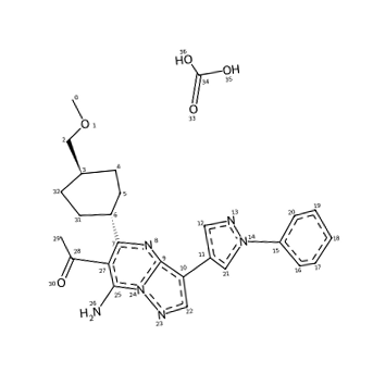 COC[C@H]1CC[C@H](c2nc3c(-c4cnn(-c5ccccc5)c4)cnn3c(N)c2C(C)=O)CC1.O=C(O)O